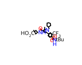 Cc1c(C(=O)N[C@H]2C[C@](C)(C(=O)O)C2)cc(-c2ccc(S(=O)(=O)NC(C)(C)C)c(C(F)(F)F)c2)n1CC1CCCCC1